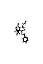 CCOC(=O)[C@H]1NC[C@H]2C(C)(C)[C@@]12C(=O)OCc1ccccc1